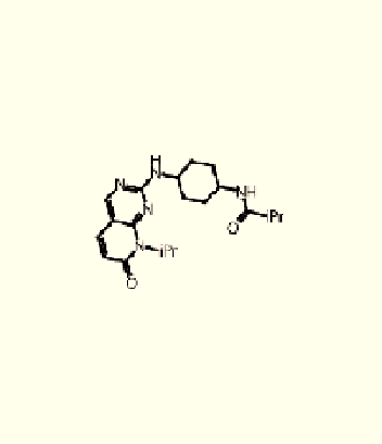 CC(C)C(=O)NC1CCC(Nc2ncc3ccc(=O)n(C(C)C)c3n2)CC1